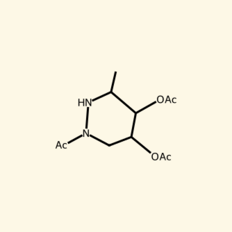 CC(=O)OC1CN(C(C)=O)NC(C)C1OC(C)=O